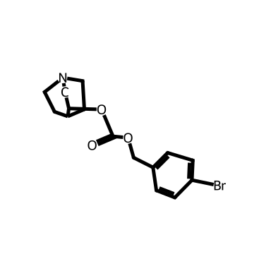 O=C(OCc1ccc(Br)cc1)OC1CN2CCC1CC2